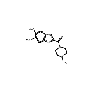 COc1cc2cc(C(=O)N3CCN(C)CC3)[nH]c2cc1OC